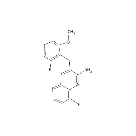 COc1cccc(F)c1Cc1cc2cccc(F)c2nc1N